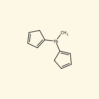 [CH3][Yb]([C]1=CC=CC1)[C]1=CC=CC1